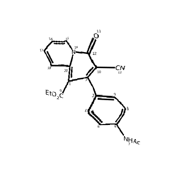 CCOC(=O)c1c(-c2ccc(NC(C)=O)cc2)c(C#N)c(=O)n2ccccc12